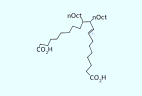 CCCCCCCCC(/C=C/CCCCCCC(=O)O)C(CCCCCCCC)CCCCCCCCC(=O)O